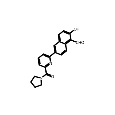 O=Cc1c(O)ccc2cc(-c3cccc(C(=O)N4CCCC4)n3)ccc12